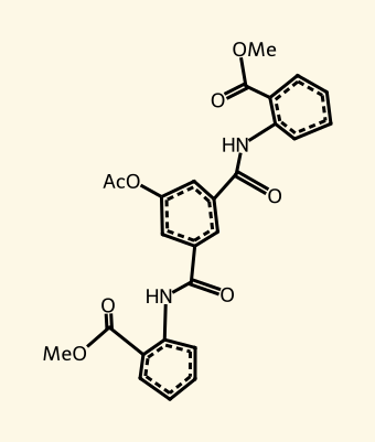 COC(=O)c1ccccc1NC(=O)c1cc(OC(C)=O)cc(C(=O)Nc2ccccc2C(=O)OC)c1